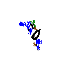 Cc1cc(NC(=S)N(C)C)ccc1Sc1ncnc(N)c1C(F)(F)F